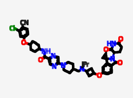 CC(C)N(CC1CCN(c2cnc(C(=O)NC3CCC(Oc4ccc(C#N)c(Cl)c4)CC3)cn2)CC1)C1CC(Oc2ccc3c(c2)C2(CC2)N([C@@H]2CCC(=O)NC2=O)C3=O)C1